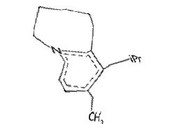 Cc1cn2c(c1C(C)C)CCCC2